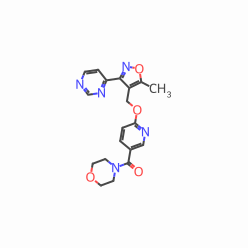 Cc1onc(-c2ccncn2)c1COc1ccc(C(=O)N2CCOCC2)cn1